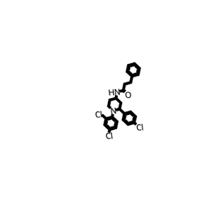 O=C(CCc1ccccc1)NC1CCN(c2ccc(Cl)cc2Cl)C(c2ccc(Cl)cc2)C1